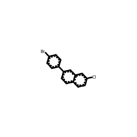 Clc1ccc2ccc(-c3ccc(Br)cc3)cc2c1